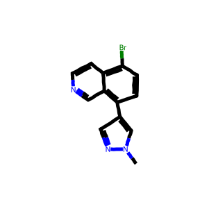 Cn1cc(-c2ccc(Br)c3ccncc23)cn1